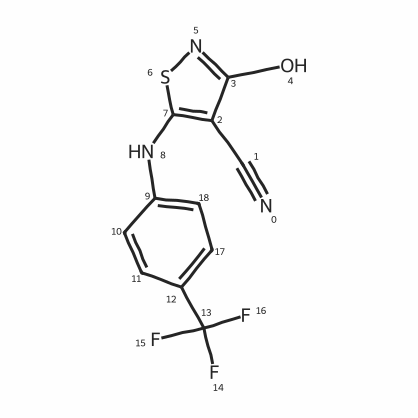 N#Cc1c(O)nsc1Nc1ccc(C(F)(F)F)cc1